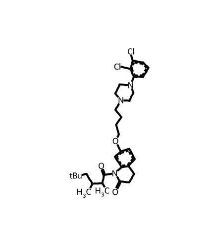 CC(CC(C)(C)C)C(C)C(=O)N1C(=O)CCc2ccc(OCCCCN3CCN(c4cccc(Cl)c4Cl)CC3)cc21